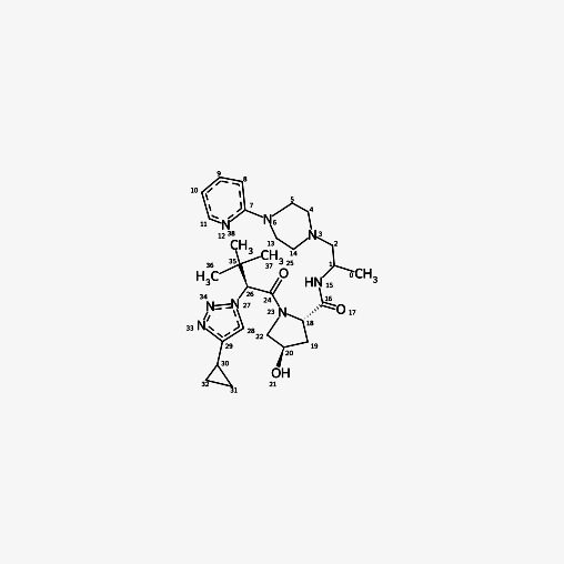 CC(CN1CCN(c2ccccn2)CC1)NC(=O)[C@@H]1C[C@@H](O)CN1C(=O)[C@@H](n1cc(C2CC2)nn1)C(C)(C)C